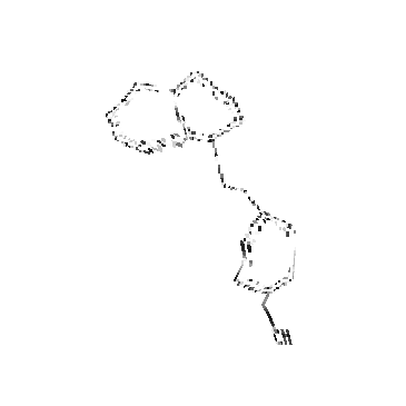 Oc1ccc(CCc2cccc3ccccc23)cc1